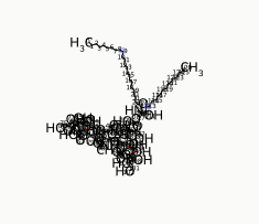 CCCCCCCC/C=C\CCCCCCCCCCCCCC(=O)N[C@@H](CO[C@@H]1OC(CO)[C@@H](O[C@@H]2OC(CO)[C@H](O[C@@H]3OC(CO)[C@H](O)[C@H](O[C@@H]4OC(CO)[C@H](O)[C@H](O[C@]5(C(=O)O)CC(O)[C@@H](O)C([C@H](O)[C@H](O)CO)O5)C4O)C3NC(C)=O)[C@H](O[C@]3(C(=O)O)CC(O)[C@@H](O)C([C@H](O)[C@H](O)CO)O3)C2O)[C@H](O)C1O)[C@H](O)/C=C/CCCCCCCCCCCCC